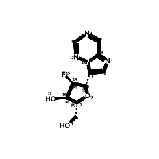 OC[C@H]1O[C@@H](c2cnc3cncnn23)[C@H](F)[C@@H]1O